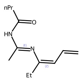 C=C/C=C(CC)\N=C(/C)NC(=O)CCC